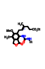 CCNC(=O)Nc1c(C/C=C(\C)CCC(=O)OCC)c(OC)c(C)c2c1C(=O)OC2